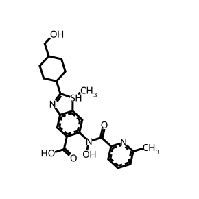 Cc1cccc(C(=O)N(O)c2cc3c(cc2C(=O)O)N=C(C2CCC(CO)CC2)[SH]3C)n1